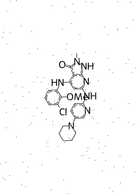 COc1c(Cl)cccc1Nc1cc(Nc2ccc(N3CCCCC3)cn2)nc2[nH]n(C)c(=O)c12